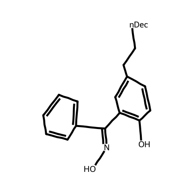 CCCCCCCCCCCCc1ccc(O)c(C(=NO)c2ccccc2)c1